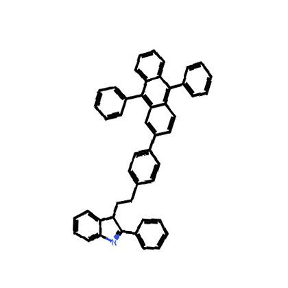 c1ccc(C2=Nc3ccccc3C2CCc2ccc(-c3ccc4c(-c5ccccc5)c5ccccc5c(-c5ccccc5)c4c3)cc2)cc1